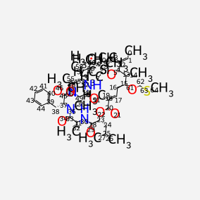 C/C=C(\C)[C@@H](O[Si](C)(C)C(C)(C)C)[C@@H](C)[C@H](C/C=C(\C)C(=O)O[C@H](CC(C)C)C(=O)N[C@@H](C)C(=O)N(C)[C@H](Cc1ccccc1)C(=O)N(C)CC(=O)N[C@H](C(C)=O)C(C)CC)OCSC